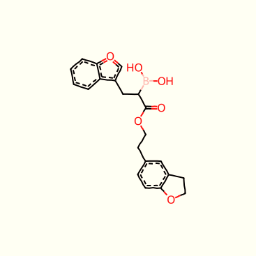 O=C(OCCc1ccc2c(c1)CCO2)C(Cc1coc2ccccc12)B(O)O